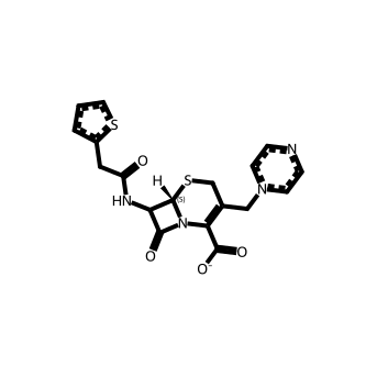 O=C(Cc1cccs1)NC1C(=O)N2C(C(=O)[O-])=C(C[n+]3ccncc3)CS[C@@H]12